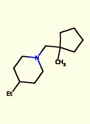 CCC1CCN(CC2(C)CCCC2)CC1